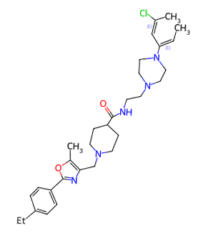 C/C=C(\C=C(/C)Cl)N1CCN(CCNC(=O)C2CCN(Cc3nc(-c4ccc(CC)cc4)oc3C)CC2)CC1